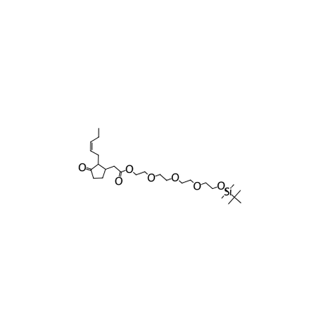 CC/C=C\CC1C(=O)CCC1CC(=O)OCCOCCOCCOCCO[Si](C)(C)C(C)(C)C